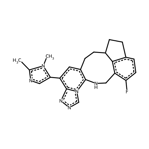 Cc1ncc(-c2cc3c(n4cnnc24)NCc2c(F)ccc4c2C(CC4)CC3)n1C